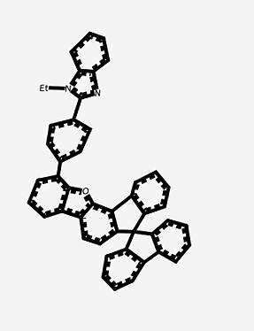 CCn1c(-c2ccc(-c3cccc4c3oc3c5c(ccc34)C3(c4ccccc4-c4ccccc43)c3ccccc3-5)cc2)nc2ccccc21